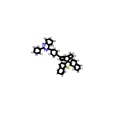 c1ccc2ccc3c(c2c#1)Sc1c(ccc2ccccc12)C31c2ccccc2-c2cc(C3=CC=C(c4nc(-c5ccccc5)nc5ccccc45)CC3)ccc21